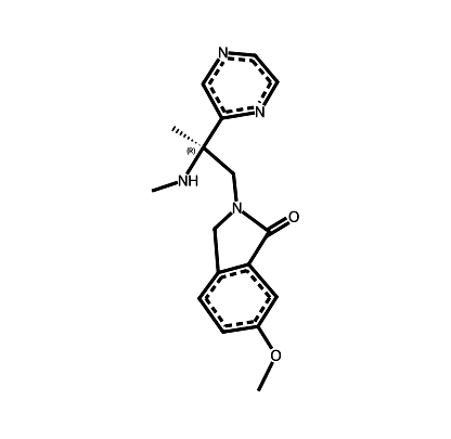 CN[C@](C)(CN1Cc2ccc(OC)cc2C1=O)c1cnccn1